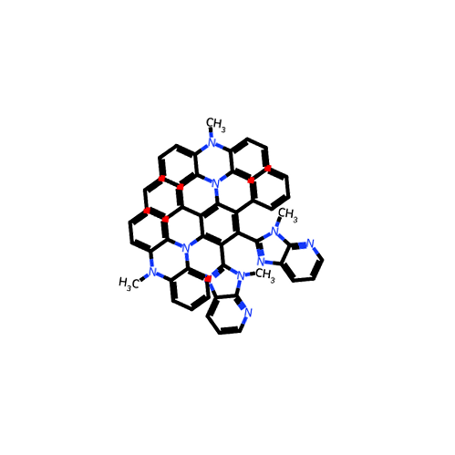 CN1c2ccccc2N(c2c(-c3ccccc3)c(-c3nc4cccnc4n3C)c(-c3nc4cccnc4n3C)c(N3c4ccccc4N(C)c4ccccc43)c2-c2ccccc2)c2ccccc21